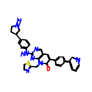 O=c1c(-c2ccc(-c3cccnc3)cc2)cc2cnc(Nc3ccc(C4CCNC4)cc3)nc2n1Cc1nccs1